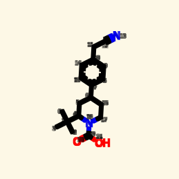 CC(C)(C)C1CC(c2ccc(CC#N)cc2)CCN1C(=O)O